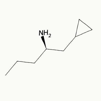 CCC[C@@H](N)CC1CC1